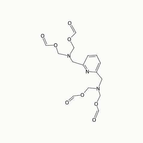 O=COCN(COC=O)Cc1cccc(CN(COC=O)COC=O)n1